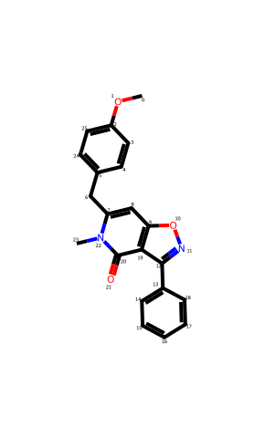 COc1ccc(Cc2cc3onc(-c4ccccc4)c3c(=O)n2C)cc1